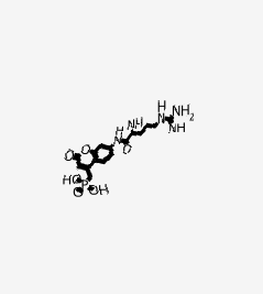 N=C(N)NCCC[C@H](N)C(=O)Nc1ccc2c(CP(=O)(O)O)cc(=O)oc2c1